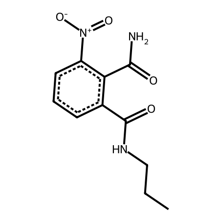 CCCNC(=O)c1cccc([N+](=O)[O-])c1C(N)=O